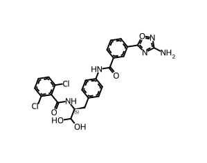 Nc1noc(-c2cccc(C(=O)Nc3ccc(C[C@H](NC(=O)c4c(Cl)cccc4Cl)C(O)O)cc3)c2)n1